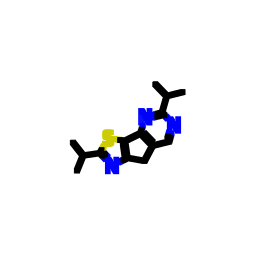 CC(C)c1ncc2c(n1)-c1sc(C(C)C)nc1C2